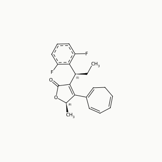 CC[C@@H](C1=C(C2=CCC=CC=C2)[C@@H](C)OC1=O)c1c(F)cccc1F